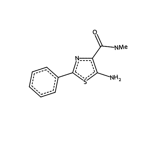 CNC(=O)c1nc(-c2ccccc2)sc1N